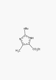 CCCCc1nc(C)c(C(=O)OCC)[nH]1